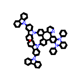 c1ccc(-n2c3ccccc3n(-c3ccccc3)c3cc4c(cc32)c2ccc(-n3c5ccccc5c5cc(-n6c7ccccc7c7ccccc76)ccc53)cc2c2cc(-n3c5ccccc5c5cc(-n6c7ccccc7c7ccccc76)ccc53)ccc2c2cccnc24)cc1